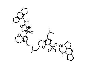 CN(C)Cc1cc(S(=O)(=O)NC(O)Nc2c3c(cc4c2CCC4)CCC3)c2n1CCC(CN(C)CCc1cc(S(=O)(=O)NC(=O)Nc3c4c(cc5c3CCC5)CCC4)c3n1CCCO3)O2